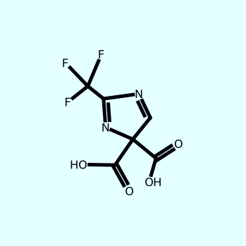 O=C(O)C1(C(=O)O)C=NC(C(F)(F)F)=N1